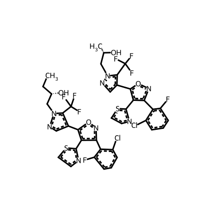 CC[C@H](O)Cn1ncc(-c2onc(-c3c(F)cccc3Cl)c2-c2nccs2)c1C(F)(F)F.C[C@H](O)Cn1ncc(-c2onc(-c3c(F)cccc3Cl)c2-c2nccs2)c1C(F)(F)F